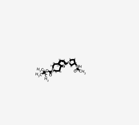 CC(=O)NC1CCN(c2ccc3c(n2)CCN(C(=O)OC(C)(C)C)CC3)C1